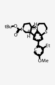 CCc1cc(OC)ccc1-c1cc2c3c(c1)[C@@H]1CN(C(=O)OC(C)(C)C)CC[C@@H]1N3CCCS2